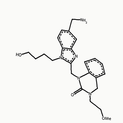 COCCN1Cc2ccccc2N(Cc2nc3cc(CN)ccc3n2CCCCO)C1=O